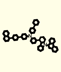 C1=Cc2c(c3ccccc3n2-c2cc3ccccc3c3ccccc23)C(c2cccc(N(c3ccc(-c4ccccc4)cc3)c3ccc(-c4ccc(-c5cccc6ccccc56)cc4)cc3)c2)C1